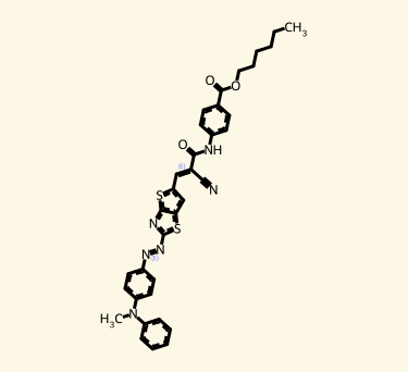 CCCCCCOC(=O)c1ccc(NC(=O)/C(C#N)=C/c2cc3sc(/N=N/c4ccc(N(C)c5ccccc5)cc4)nc3s2)cc1